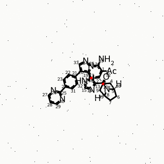 CC(=O)c1c([C@@H]2C[C@H]3CC[C@@H](C2)N3C(=O)c2nc[nH]n2)nc2c(-c3ccc(-c4ncccn4)cc3)cnn2c1N